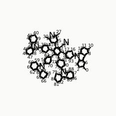 Cc1ccc2c(c1)c1cc(C)ccc1n2-c1ccc(-c2c(C#N)c(-c3cc(C)nc(C)c3)c(-c3ccc(-n4c5ccccc5c5ccccc54)cc3)c(-c3ccc(-n4c5ccccc5c5ccccc54)cc3)c2-c2ccc(-n3c4ccccc4c4ccccc43)cc2)cc1